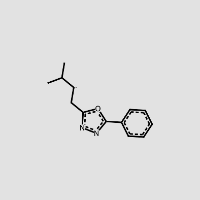 CC(C)[CH]Cc1nnc(-c2ccccc2)o1